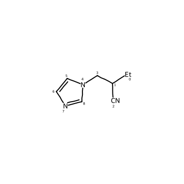 CCC(C#N)Cn1ccnc1